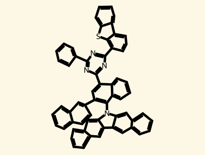 c1ccc(-c2nc(-c3cc(-c4ccc5ccccc5c4)c(-n4c5cc6ccccc6cc5c5cc6ccccc6cc54)c4ccccc34)nc(-c3cccc4c3sc3ccccc34)n2)cc1